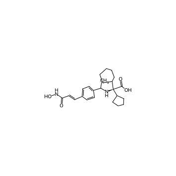 CC(N[C@](C(=O)O)(C1CCCCC1)C1CCCC1)c1ccc(/C=C/C(=O)NO)cc1